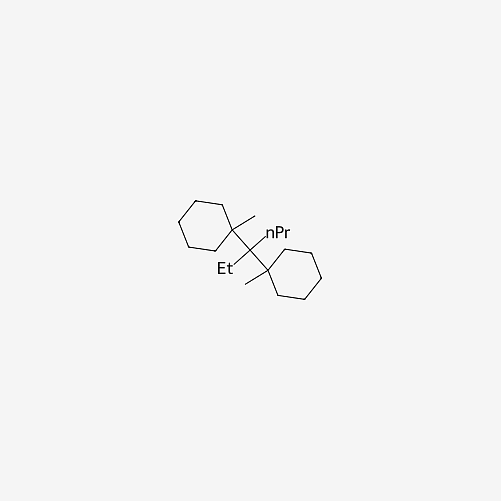 CCCC(CC)(C1(C)CCCCC1)C1(C)CCCCC1